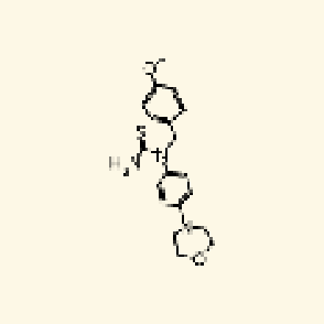 COc1ccc(CN(C(N)=S)c2ccc(N3CCOCC3)cc2)cc1